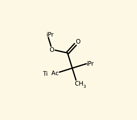 CC(=O)C(C)(C(=O)OC(C)C)C(C)C.[Ti]